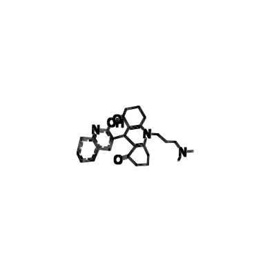 CN(C)CCCN1C2=C(C(=O)CCC2)C(c2cc3ccccc3nc2O)C2=C1CCCC2=O